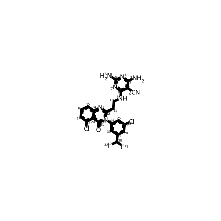 N#Cc1c(N)nc(N)nc1NCCc1nc2cccc(Cl)c2c(=O)n1-c1cc(Cl)cc(C(F)F)c1